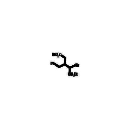 CCOC(=O)N(C(C)C)C(CC(=O)O)CC(C)C